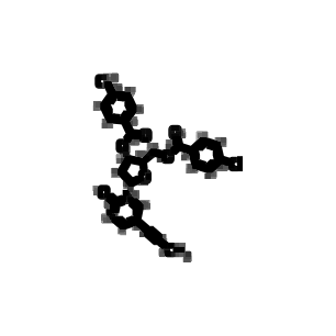 CC#Cc1cnc(=O)n([C@@H]2C[C@H](OC(=O)c3ccc(Cl)cc3)[C@@H](COC(=O)c3ccc(Cl)cc3)O2)c1